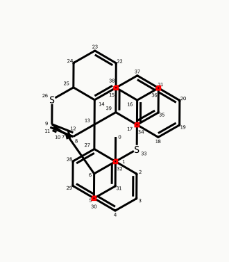 CC1C=CC=CC1c1cccc2c1C1(C3=C(c4ccccc4)C=CCC3S2)c2ccccc2Sc2ccccc21